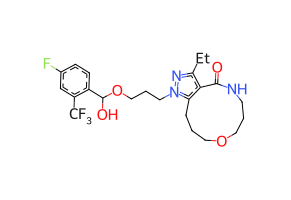 CCc1nn(CCCOC(O)c2ccc(F)cc2C(F)(F)F)c2c1C(=O)NCCCOCCC2